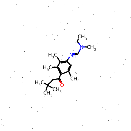 CCN(C)/C=N/c1cc(C)c(C(=O)CC(C)(C)C)c(C)c1C